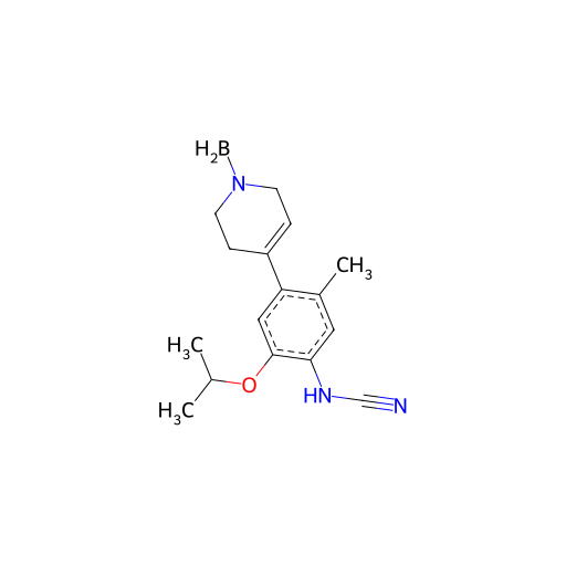 BN1CC=C(c2cc(OC(C)C)c(NC#N)cc2C)CC1